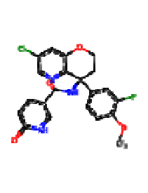 O=C(N[C@]1(c2ccc(OC(F)(F)F)c(F)c2)CCOc2cc(Cl)cnc21)c1ccc(=O)[nH]c1